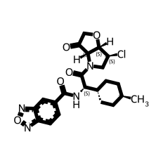 C[C@H]1CC[C@H]([C@H](NC(=O)c2ccc3nonc3c2)C(=O)N2C[C@H](Cl)[C@H]3OCC(=O)[C@H]32)CC1